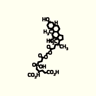 C[C@H](CCC(=O)OCOC(=O)CCP(=O)(O)CC(CCC(=O)O)C(=O)O)C1CCC2C3CC[C@@H]4C[C@H](O)CC[C@]4(C)C3C[C@H](O)[C@@]21C